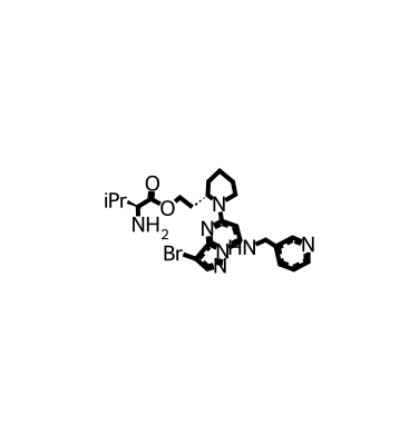 CC(C)[C@H](N)C(=O)OCC[C@@H]1CCCCN1c1cc(NCc2cccnc2)n2ncc(Br)c2n1